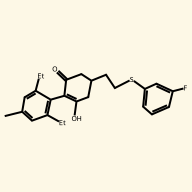 CCc1cc(C)cc(CC)c1C1=C(O)CC(CCSc2cccc(F)c2)CC1=O